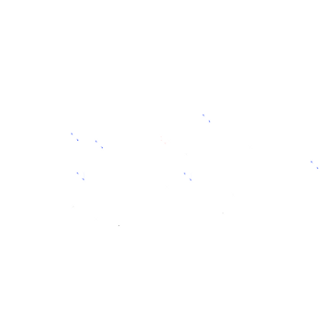 C[C@@H](C1CC1)n1cnnc1-c1cccc(N(C(=O)c2cc(-c3cccnc3)ccn2)C2CC2)c1